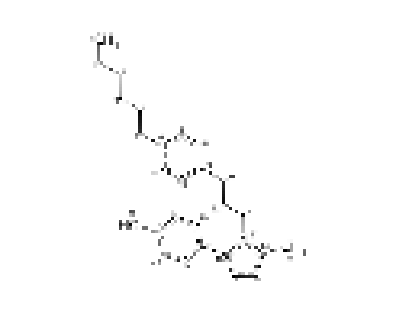 CCCCCCc1ccc(CCCn2c(C)ccc2-c2ccc(O)cc2)cc1